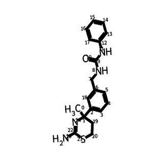 CC1(c2cccc(CNC(=O)Nc3ccccc3)c2)CCSC(N)=N1